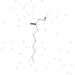 CCCCCCCC(=O)[C@H](C)C=O